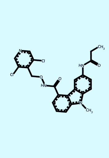 CCC(=O)Nc1ccc2c(c1)c1c(C(=O)NOCc3c(Cl)cncc3Cl)cccc1n2C